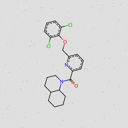 O=C(c1cccc(COc2c(Cl)cccc2Cl)n1)N1CCCC2CCCCC21